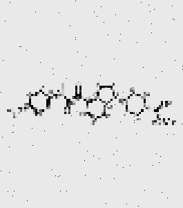 COC(=O)N1CCN(C2CCc3c(NC(=O)Nc4ccc(C)nc4)cccc32)CC1